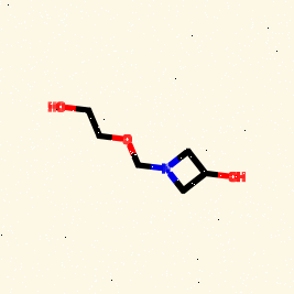 OCCOCN1CC(O)C1